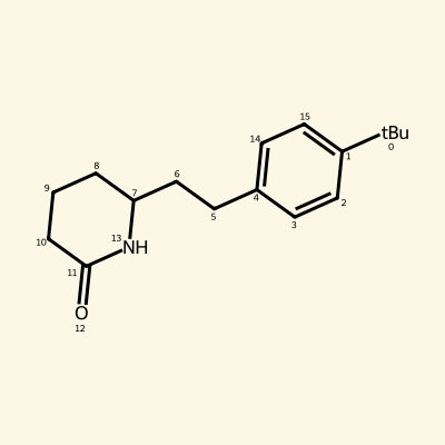 CC(C)(C)c1ccc(CCC2CCCC(=O)N2)cc1